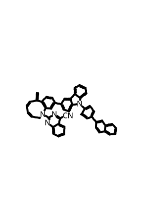 C=C1/C=C\C=C/CN(c2nc(C#N)c3ccccc3n2)c2cc(-c3ccc4c(c3)c3ccccc3n4-c3ccc(-c4ccc5ccccc5c4)cc3)ccc21